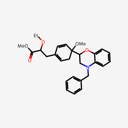 CCOC(CC1=CCC(OC)(C2CN(Cc3ccccc3)c3ccccc3O2)C=C1)C(=O)OC